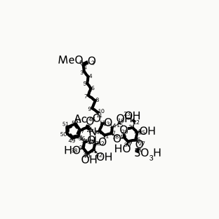 COC(=O)CCCCCCCCO[C@@H]1O[C@H](CO)[C@@H](O[C@@H]2O[C@H](CO)[C@H](O)[C@H](OS(=O)(=O)O)[C@H]2O)[C@H](O[C@@H]2O[C@@H](C)[C@@H](O)[C@@H](O)[C@@H]2O)[C@H]1NC(=O)c1ccccc1C(C)=O